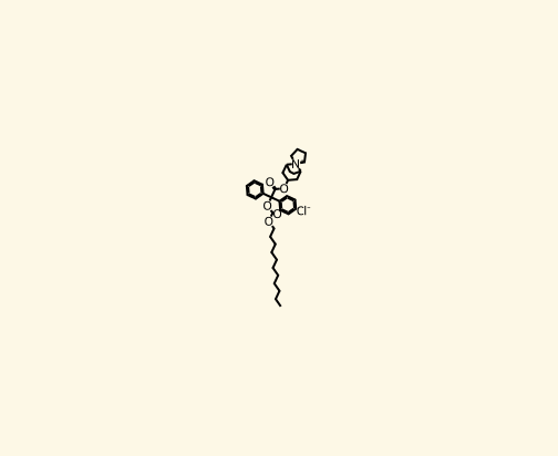 CCCCCCCCCCCOC(=O)OC(C(=O)OC1CC2CCC(C1)[N+]21CCCC1)(c1ccccc1)c1ccccc1.[Cl-]